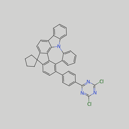 Clc1nc(Cl)nc(-c2ccc(-c3ccc4c5c3-c3ccccc3-n3c6ccccc6c6ccc(c-5c63)C43CCCC3)cc2)n1